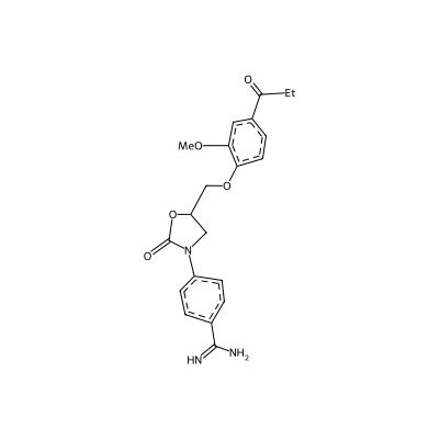 CCC(=O)c1ccc(OCC2CN(c3ccc(C(=N)N)cc3)C(=O)O2)c(OC)c1